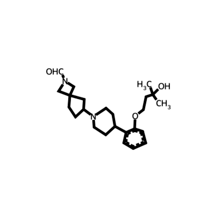 CC(C)(O)CCOc1ccccc1C1CCN(C2CCC3(C2)CN(C=O)C3)CC1